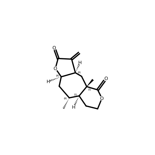 C=C1C(=O)O[C@@H]2C[C@@H](C)[C@@H]3CCOC(=O)[C@@]3(C)C[C@H]12